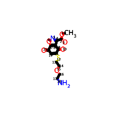 COC(=O)c1noc2c1C(=O)C(SCCOCCN)=CC2=O